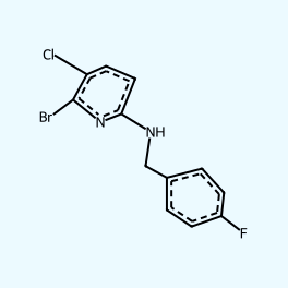 Fc1ccc(CNc2ccc(Cl)c(Br)n2)cc1